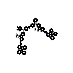 CCC1(CC)c2cc(/C=C/c3cccc4c3-c3ccccc3C4(c3ccccc3)c3ccccc3)ccc2-c2ccc(N(c3ccccc3)c3ccc(C(C)(C)c4ccc(N(c5ccc(C)c(C)c5)c5ccc6c(c5)C(CC)(CC)c5cc(/C=C/c7cccc8c7-c7ccccc7C8(c7ccccc7)c7ccccc7)ccc5-6)cc4)cc3)cc21